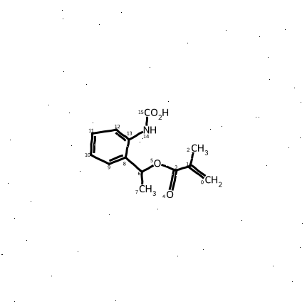 C=C(C)C(=O)OC(C)c1ccccc1NC(=O)O